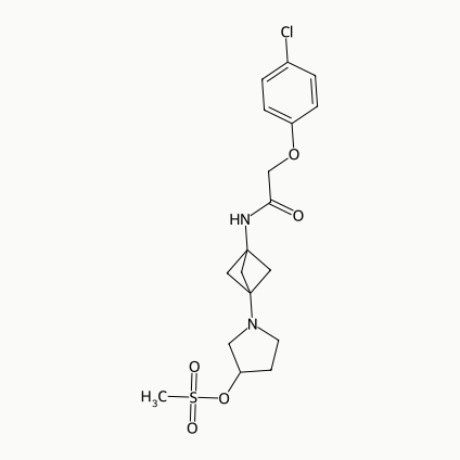 CS(=O)(=O)OC1CCN(C23CC(NC(=O)COc4ccc(Cl)cc4)(C2)C3)C1